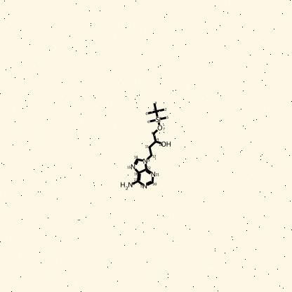 CC(C)(C)[Si](C)(C)OCC(O)CCn1cnc2c(N)ncnc21